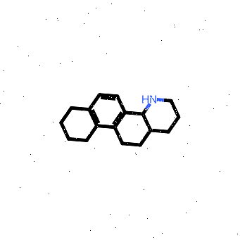 c1cc2c(c3c1CCCC3)CCC1CCCNC21